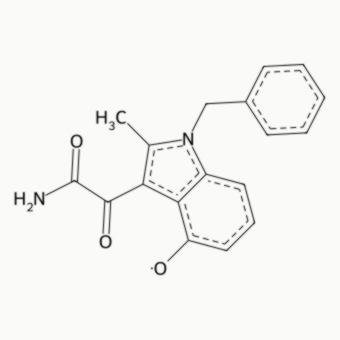 Cc1c(C(=O)C(N)=O)c2c([O])cccc2n1Cc1ccccc1